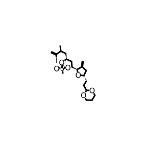 C=C(I)C(C)C[C@@H](CC[C@@H]1O[C@@H](CCC2OCCCO2)CC1=C)OS(C)(=O)=O